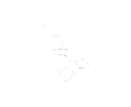 NS(=O)(=O)N1CCC2(CC1)CC([C@@H]1c3ccccc3-c3cncn31)C2O